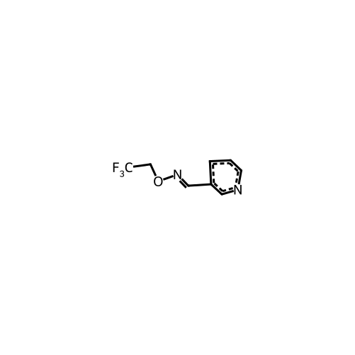 FC(F)(F)CON=Cc1cccnc1